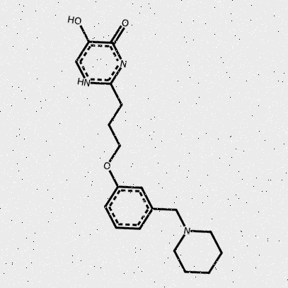 O=c1nc(CCCOc2cccc(CN3CCCCC3)c2)[nH]cc1O